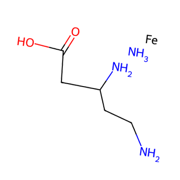 N.NCCC(N)CC(=O)O.[Fe]